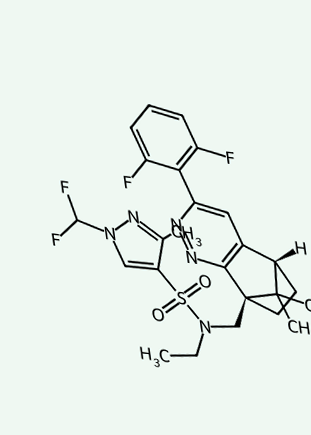 CCN(C[C@@]12CC[C@@H](c3cc(-c4c(F)cccc4F)nnc31)C2(C)C)S(=O)(=O)c1cn(C(F)F)nc1C